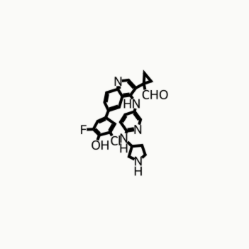 O=CC1(c2cnc3ccc(-c4cc(F)c(O)c(Cl)c4)cc3c2Nc2ccc(NC3CCNC3)nc2)CC1